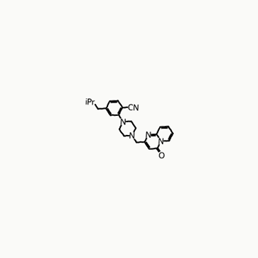 CC(C)Cc1ccc(C#N)c(N2CCN(Cc3cc(=O)n4ccccc4n3)CC2)c1